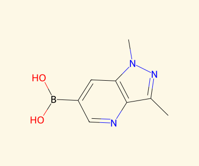 Cc1nn(C)c2cc(B(O)O)cnc12